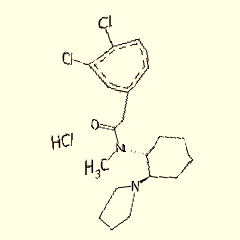 CN(C(=O)Cc1ccc(Cl)c(Cl)c1)[C@@H]1CCCC[C@H]1N1CCCC1.Cl